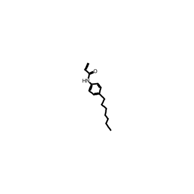 C=CC(=O)Nc1ccc(CCCCCCC)cc1